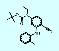 CCN(C(=O)OC(C)(C)C)c1ccc(C#N)c(Nc2ccccc2C)c1